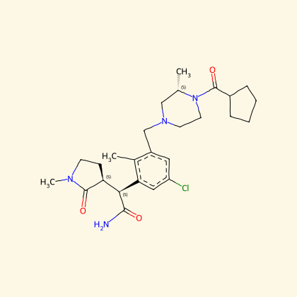 Cc1c(CN2CCN(C(=O)C3CCCC3)[C@@H](C)C2)cc(Cl)cc1[C@@H](C(N)=O)[C@@H]1CCN(C)C1=O